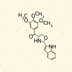 COc1cc(C(=O)C2COC(c3cc4ccccc4[nH]3)N2)cc(OC)c1OC